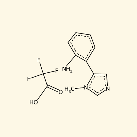 Cn1cncc1-c1ccccc1N.O=C(O)C(F)(F)F